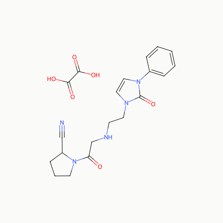 N#CC1CCCN1C(=O)CNCCn1ccn(-c2ccccc2)c1=O.O=C(O)C(=O)O